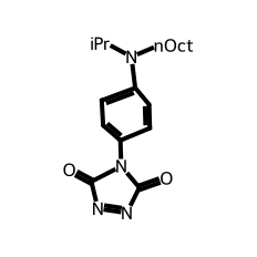 CCCCCCCCN(c1ccc(N2C(=O)N=NC2=O)cc1)C(C)C